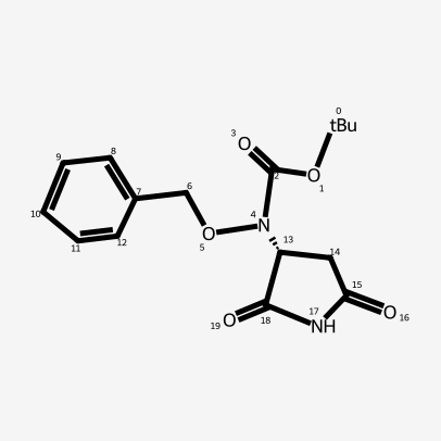 CC(C)(C)OC(=O)N(OCc1ccccc1)[C@@H]1CC(=O)NC1=O